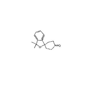 CC1(C)OC2(CCC(=O)CC2)c2ccccc21